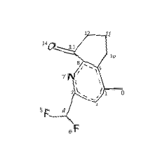 Cc1cc(C(F)F)nc2c1CCCC2=O